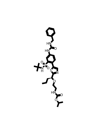 CCC[C@H](OCCNC(=O)OC(C)C)c1ncc(-c2ccc(NC(=O)NCc3ccccc3)cc2S(=O)(=O)NC(C)(C)C)s1